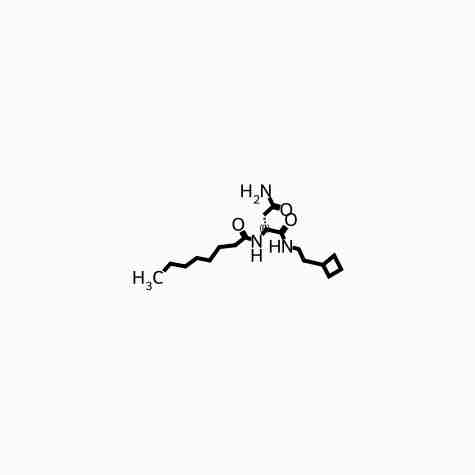 CCCCCCCC(=O)N[C@H](CC(N)=O)C(=O)NCCC1CCC1